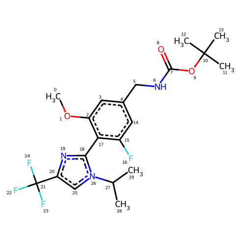 COc1cc(CNC(=O)OC(C)(C)C)cc(F)c1-c1nc(C(F)(F)F)cn1C(C)C